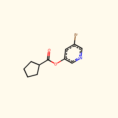 O=C(Oc1cncc(Br)c1)C1CCCC1